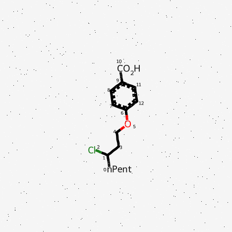 CCCCCC(Cl)CCOc1ccc(C(=O)O)cc1